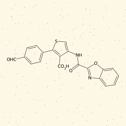 O=Cc1ccc(-c2scc(NC(=O)c3nc4ccccc4o3)c2C(=O)O)cc1